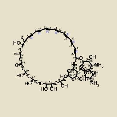 C[C@H]1C[C@H](O)[C@@H](C)/C=C/C=C/C=C/C=C/C=C/C=C/C=C/C(O[C@@H]2OC[C@@H](O)[C@H](N)[C@@H]2O)C[C@@H]2OC(O)(CC(O)CC(O)C(O)CCC(O)CC(O)CC(=O)O1)C[C@H](O)[C@H]2C(=O)N1CC[C@@H](N)C1